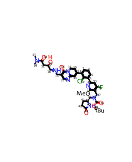 COc1nc(-c2cccc(-c3ccn4c(=O)c(CNCC(O)CC(=O)N(C)C)cnc4c3)c2Cl)cc(F)c1CN(C[C@@H]1CCC(=O)N1)C(=O)OC(C)(C)C